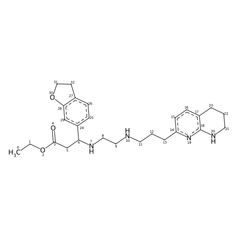 CCOC(=O)CC(NCCNCCCc1ccc2c(n1)NCCC2)c1ccc2c(c1)OCC2